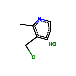 Cc1ncccc1CCl.Cl